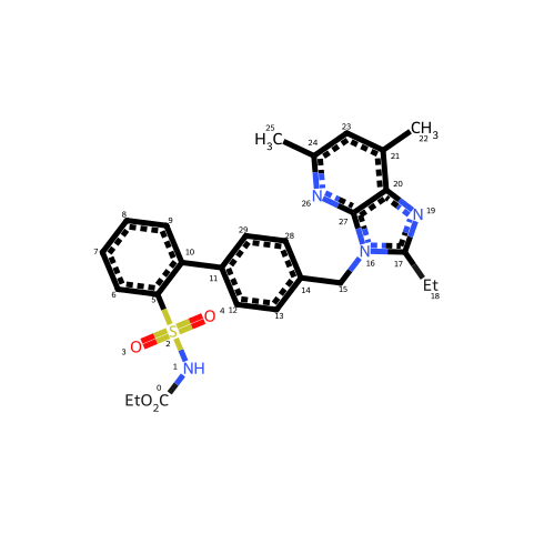 CCOC(=O)NS(=O)(=O)c1ccccc1-c1ccc(Cn2c(CC)nc3c(C)cc(C)nc32)cc1